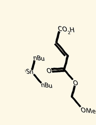 CCC[CH2][Sn][CH2]CCC.COCOC(=O)C=CC(=O)O